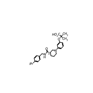 CC(C)c1ccc(CNC(=O)[C@@H]2CCCN(c3cccc(OC(C)(C)C(=O)O)c3)C2)cc1